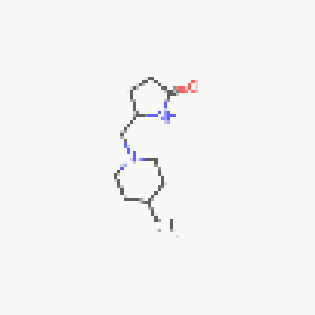 CC1CCN(CC2CCC(=O)N2)CC1